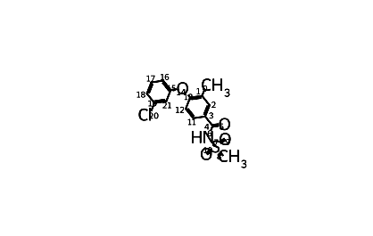 Cc1cc(C(=O)NS(C)(=O)=O)ccc1Oc1cccc(Cl)c1